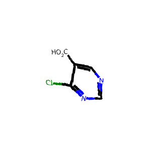 O=C(O)c1cn[c]nc1Cl